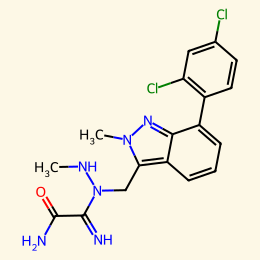 CNN(Cc1c2cccc(-c3ccc(Cl)cc3Cl)c2nn1C)C(=N)C(N)=O